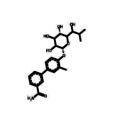 Cc1cc(-c2cccc(C(N)=O)c2)ccc1O[C@H]1OC(C(O)C(C)C)[C@@H](O)C(O)C1O